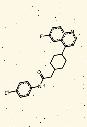 O=C(CC1CCC(c2ccnc3ccc(F)cc23)CC1)Nc1ccc(Cl)cc1